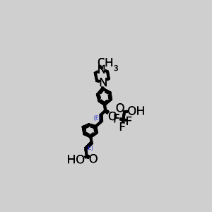 CN1CCN(c2ccc(C(=O)/C=C/c3cccc(/C=C/C(=O)O)c3)cc2)CC1.O=C(O)C(F)(F)F